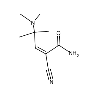 CN(C)C(C)(C)C=C(C#N)C(N)=O